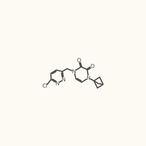 O=c1c(=O)n(C23CC(C2)C3)ccn1Cc1ccc(Cl)nn1